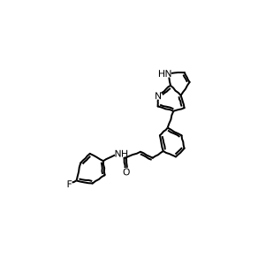 O=C(C=Cc1cccc(-c2cnc3[nH]ccc3c2)c1)Nc1ccc(F)cc1